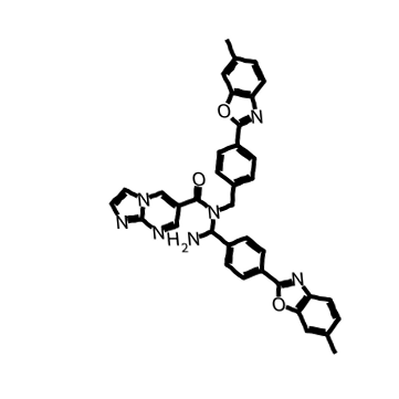 Cc1ccc2nc(-c3ccc(CN(C(=O)c4cnc5nccn5c4)C(N)c4ccc(-c5nc6ccc(C)cc6o5)cc4)cc3)oc2c1